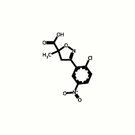 CC1(C(=O)O)CC(c2cc([N+](=O)[O-])ccc2Cl)=NO1